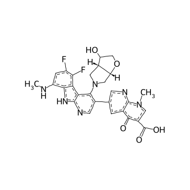 CNc1cc(F)c(F)c2c1[nH]c1ncc(-c3cnc4c(c3)c(=O)c(C(=O)O)cn4C)c(N3C[C@@H]4C(O)CO[C@@H]4C3)c12